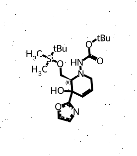 CC(C)(C)OC(=O)NN1CC=CC(O)(c2ncco2)[C@H]1CO[Si](C)(C)C(C)(C)C